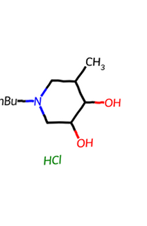 CCCCN1CC(C)C(O)C(O)C1.Cl